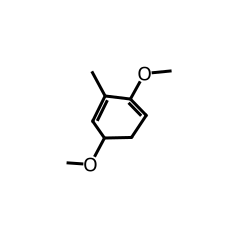 COC1=CCC(OC)C=C1C